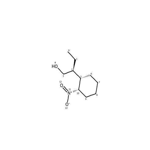 CC[C@H](CO)[C@@H]1CCCC[C@@H]1[N+](=O)[O-]